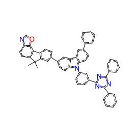 CC1(C)c2cc(-c3ccc4c(c3)c3cc(-c5ccccc5)ccc3n4-c3cccc(-c4nc(-c5ccccc5)nc(-c5ccccc5)n4)c3)ccc2-c2c1ccc1ncoc21